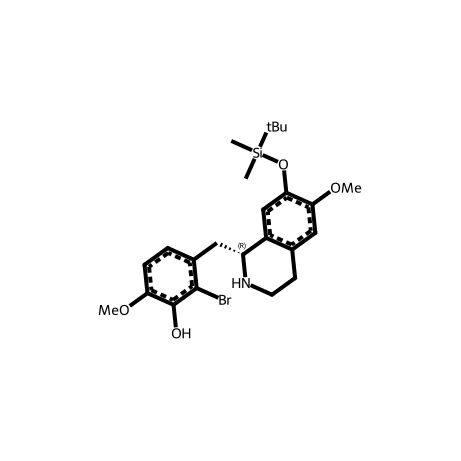 COc1cc2c(cc1O[Si](C)(C)C(C)(C)C)[C@@H](Cc1ccc(OC)c(O)c1Br)NCC2